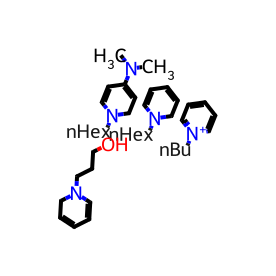 CCCCCCN1C=CC(N(C)C)=CC1.CCCCCCN1C=CC=CC1.CCCC[n+]1ccccc1.OCCCN1C=CC=CC1